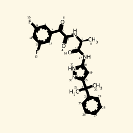 C[C@H](NC(=O)C(=O)c1cc(F)cc(F)c1)C(=O)Nc1cc(C(C)(C)c2ccccc2)n[nH]1